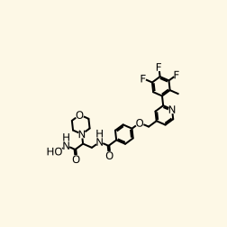 Cc1c(-c2cc(COc3ccc(C(=O)NCC(C(=O)NO)N4CCOCC4)cc3)ccn2)cc(F)c(F)c1F